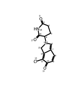 O=C1CCC(N2C=C3C=CC(=O)C(Cl)=C3C2)C(=O)N1